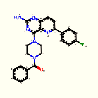 Nc1nc(N2CCN(C(=O)c3ccccc3)CC2)c2nc(-c3ccc(F)cc3)ccc2n1